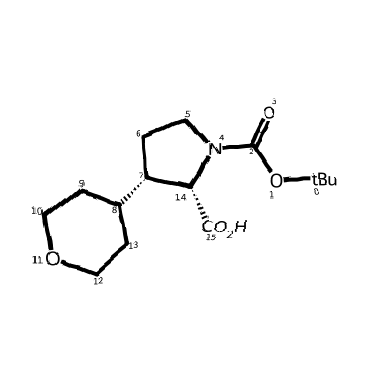 CC(C)(C)OC(=O)N1CC[C@@H](C2CCOCC2)[C@H]1C(=O)O